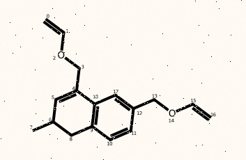 C=COCC1=CC(C)Cc2ccc(COC=C)cc21